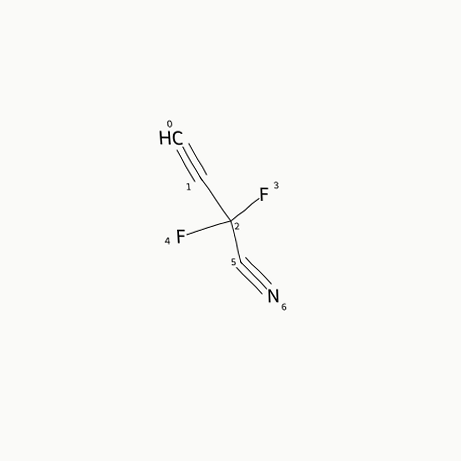 C#CC(F)(F)C#N